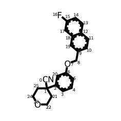 N#CC1(c2cccc(OCc3ccc4ccc(F)cc4c3)c2)CCOCC1